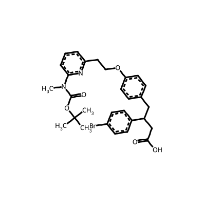 CN(C(=O)OC(C)(C)C)c1cccc(CCOc2ccc(CC(CC(=O)O)c3ccc(Br)cc3)cc2)n1